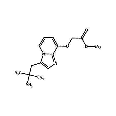 CC(C)(N)Cc1cnc2c(OCC(=O)OC(C)(C)C)cccn12